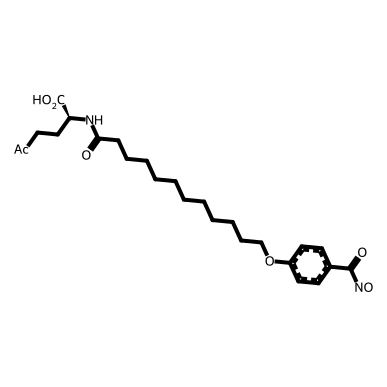 CC(=O)CC[C@H](NC(=O)CCCCCCCCCCCOc1ccc(C(=O)N=O)cc1)C(=O)O